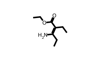 CCOC(=O)C(CC)=C(N)CC